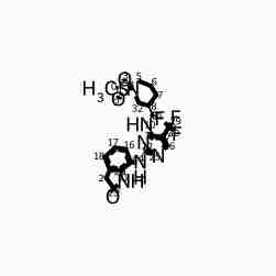 CS(=O)(=O)N1CCC[C@@H](CNc2nc(Nc3cccc4c3NC(=O)C4)ncc2C(F)(F)F)C1